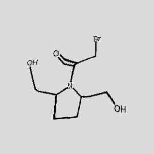 O=C(CBr)N1C(CO)CCC1CO